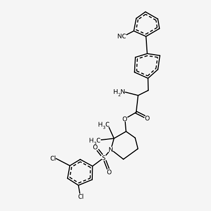 CC1(C)C(OC(=O)C(N)Cc2ccc(-c3ccccc3C#N)cc2)CCCN1S(=O)(=O)c1cc(Cl)cc(Cl)c1